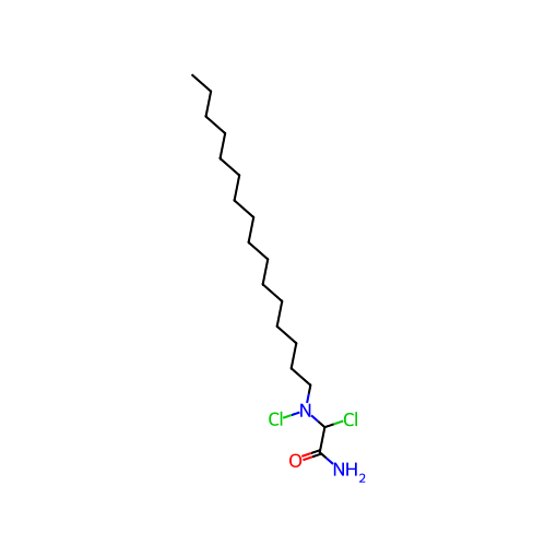 CCCCCCCCCCCCCCCCN(Cl)C(Cl)C(N)=O